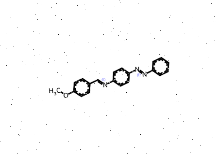 COc1ccc(/C=N/c2ccc(/N=N/c3ccccc3)cc2)cc1